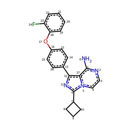 Nc1nccn2c(C3CCC3)nc(-c3ccc(Oc4ccccc4F)cc3)c12